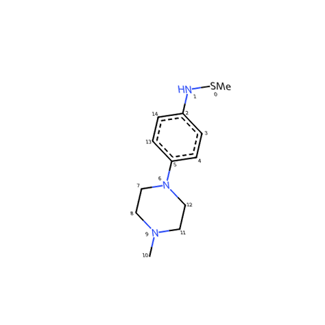 CSNc1ccc(N2CCN(C)CC2)cc1